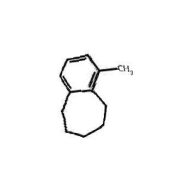 Cc1cccc2c1CCCCC2